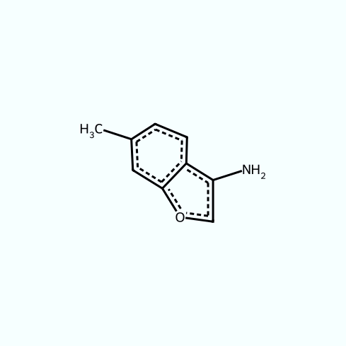 Cc1ccc2c(N)coc2c1